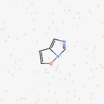 [C]1=CO[N+]2C=NC=C12